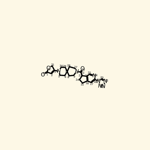 O=C1C=C(N2CCC3(CCN(C(=O)C4CCc5cc(-n6cnnn6)ncc54)CC3)CC2)CO1